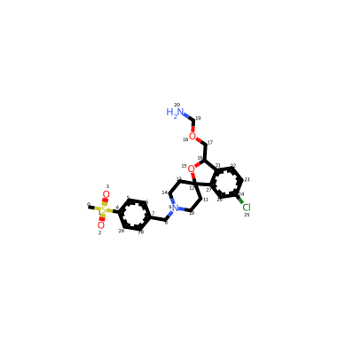 CS(=O)(=O)c1ccc(CN2CCC3(CC2)OC(COCN)c2ccc(Cl)cc23)cc1